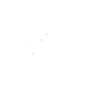 CC1=C(N)C(=O)C(c2ccccc2)N1C